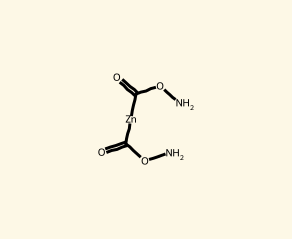 NO[C](=O)[Zn][C](=O)ON